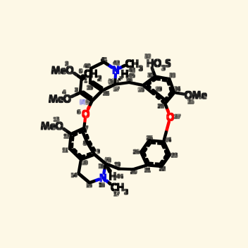 C=C(OC)/C(OC)=C1/Oc2cc3c(cc2OC)CCN(C)[C@H]3CCc2ccc(cc2)Oc2cc(c(S(=O)(=O)O)cc2OC)C[C@H]2C1=CCCN2C